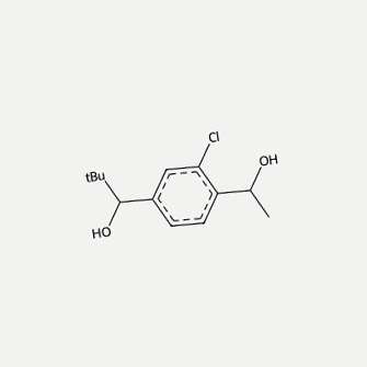 CC(O)c1ccc(C(O)C(C)(C)C)cc1Cl